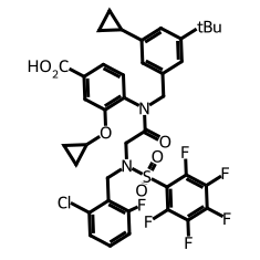 CC(C)(C)c1cc(CN(C(=O)CN(Cc2c(F)cccc2Cl)S(=O)(=O)c2c(F)c(F)c(F)c(F)c2F)c2ccc(C(=O)O)cc2OC2CC2)cc(C2CC2)c1